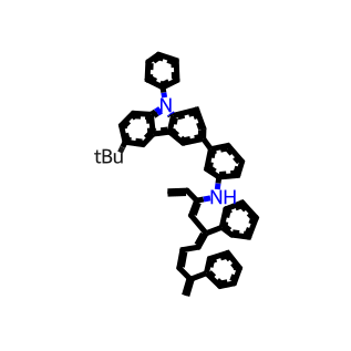 C=C/C(=C/C(=C\C=C/C(=C)c1ccccc1)c1ccccc1)Nc1cccc(-c2ccc3c(c2)c2cc(C(C)(C)C)ccc2n3-c2ccccc2)c1